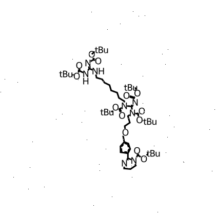 CC(C)(C)OC(=O)/N=C(\NCCCCCCCCN(C(=O)OC(C)(C)C)/C(=N\C(=O)OC(C)(C)C)N(CCCOCc1ccc(C2=NCCCN2C(=O)OC(C)(C)C)cc1)C(=O)OC(C)(C)C)NC(=O)OC(C)(C)C